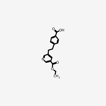 CCOC(=O)c1cncc(CCc2ccc(C(=O)O)cc2)c1